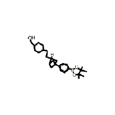 CC1(C)OB(c2ccc(C34CC(C3)[C@H](CCC3CCC(CO)CC3)C4)cc2)OC1(C)C